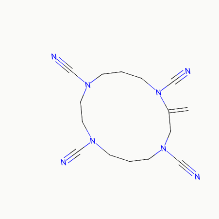 C=C1CN(C#N)CCCN(C#N)CCN(C#N)CCCN1C#N